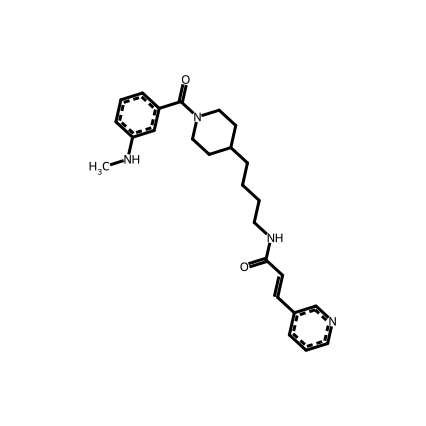 CNc1cccc(C(=O)N2CCC(CCCCNC(=O)/C=C/c3cccnc3)CC2)c1